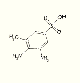 Cc1cc(S(=O)(=O)O)cc(N)c1N